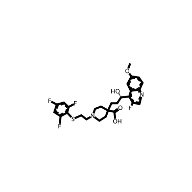 COc1ccc2ncc(F)c([C@@H](O)CCC3(C(=O)O)CCN(CCSc4c(F)cc(F)cc4F)CC3)c2c1